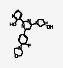 Oc1ncccc1-c1nc(-c2ccc(N3CCOCC3)c(F)c2)cc(N2CC[C@H](O)C2)n1